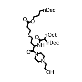 CCCCCCCCCCCCCOC(=O)CCSCCC(NC(=O)C(CCCCCCCC)CCCCCCCCCC)C(=O)N1CCN(CCO)CC1